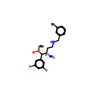 CCCC[S+]([O-])C(c1cc(F)cc(F)c1)[C@@H](N)[CH]CNCc1cccc(CC)c1